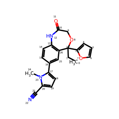 CCC1(c2ccco2)OCC(=O)Nc2ccc(-c3ccc(C#N)n3C)cc21